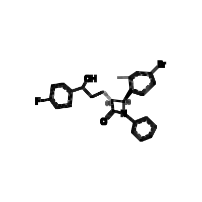 Cc1cc(Br)ccc1[C@@H]1[C@@H](CCC(O)c2ccc(F)cc2)C(=O)N1c1ccccc1